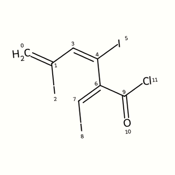 C=C(I)/C=C(I)\C(=C\I)C(=O)Cl